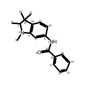 CC1N(C)c2cc(NC(=O)c3ccccc3)ccc2C1(C)C